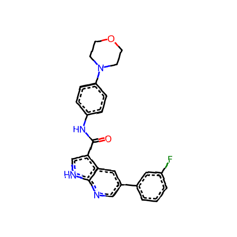 O=C(Nc1ccc(N2CCOCC2)cc1)c1c[nH]c2ncc(-c3cccc(F)c3)cc12